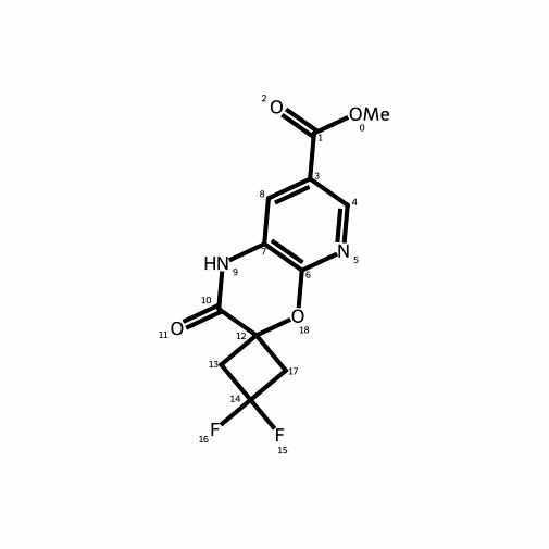 COC(=O)c1cnc2c(c1)NC(=O)C1(CC(F)(F)C1)O2